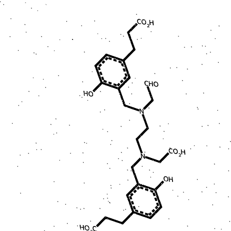 O=CCN(CCN(CC(=O)O)Cc1cc(CCC(=O)O)ccc1O)Cc1cc(CCC(=O)O)ccc1O